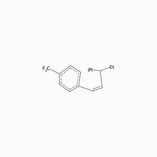 CCC(/C=C\c1ccc(C(F)(F)F)cc1)C(C)C